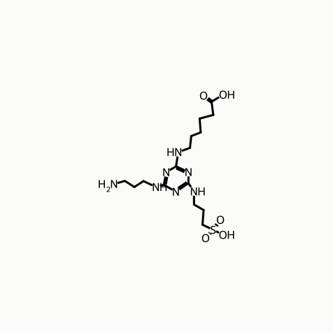 NCCCNc1nc(NCCCCCC(=O)O)nc(NCCCS(=O)(=O)O)n1